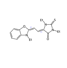 CCN1C(=O)/C(=C/C=C2/Oc3ccccc3N2CC)N(CC)C1=S